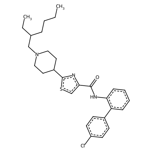 CCCCC(CC)CN1CCC(c2nc(C(=O)Nc3ccccc3-c3ccc(Cl)cc3)cs2)CC1